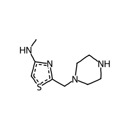 CNc1csc(CN2CCNCC2)n1